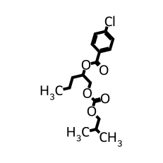 CCCC(COC(=O)OCC(C)C)OC(=O)c1ccc(Cl)cc1